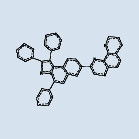 c1ccc(-c2nn3c(-c4ccccc4)cc4cc(-c5ccc6ccc7cccnc7c6n5)ccc4c3c2-c2ccccc2)cc1